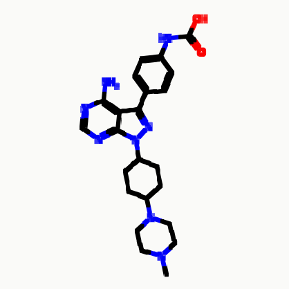 CN1CCN(C2CCC(n3nc(-c4ccc(NC(=O)O)cc4)c4c(N)ncnc43)CC2)CC1